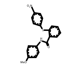 COc1ccc(NC(=O)c2ccccc2Sc2ccc([N+](=O)[O-])cc2)cc1